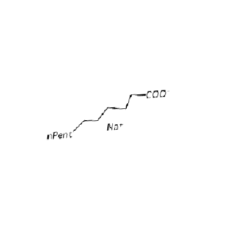 CCCCCCCCCCC(=O)[O-].[Na+]